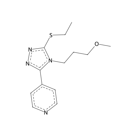 CCSc1nnc(-c2ccncc2)n1CCCOC